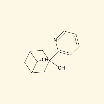 CC1C2CC1CC(O)(c1ccccn1)C2